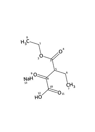 CCOC(=O)C(CC)C(=O)C(=O)O.[NaH]